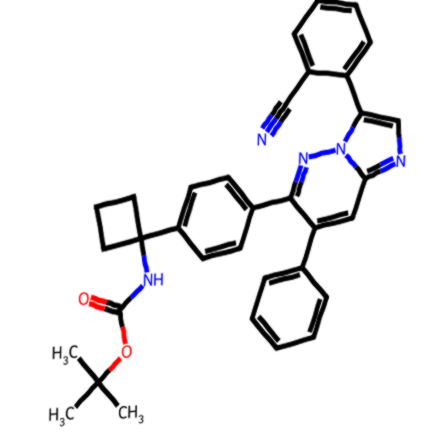 CC(C)(C)OC(=O)NC1(c2ccc(-c3nn4c(-c5ccccc5C#N)cnc4cc3-c3ccccc3)cc2)CCC1